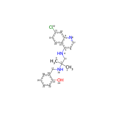 CC(C)(CNc1ccnc2cc(Cl)ccc12)NCc1ccccc1O